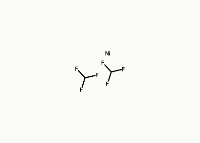 FC(F)F.FC(F)F.[Ni]